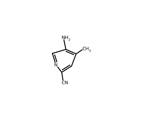 Cc1cc(C#N)ncc1N